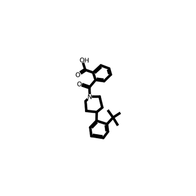 CC(C)(C)c1ccccc1C1CCN(C(=O)c2ccccc2C(=O)O)CC1